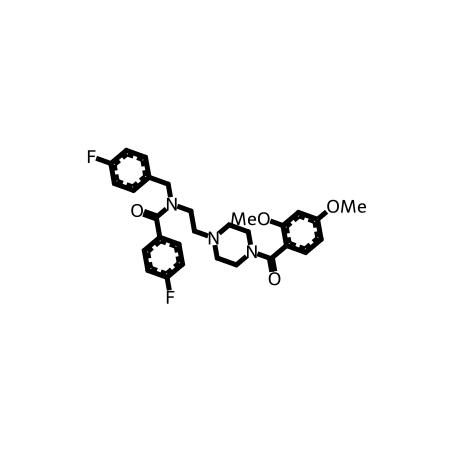 COc1ccc(C(=O)N2CCN(CCN(Cc3ccc(F)cc3)C(=O)c3ccc(F)cc3)CC2)c(OC)c1